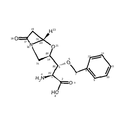 N[C@H](C(=O)O)[C@@H](OCc1ccccc1)[C@H]1CN2C(=O)C[C@@H]2O1